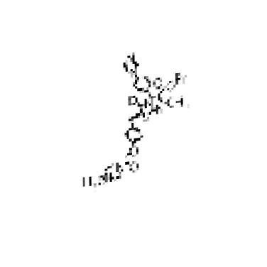 CC1=C(C(=O)OC(C)C)C(c2ccc(-n3ccnc3)cc2)n2c(s/c(=C\c3ccc(OCC(=O)N4CCN(C)CC4)cc3)c2=O)=N1